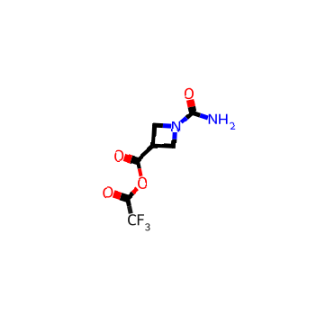 NC(=O)N1CC(C(=O)OC(=O)C(F)(F)F)C1